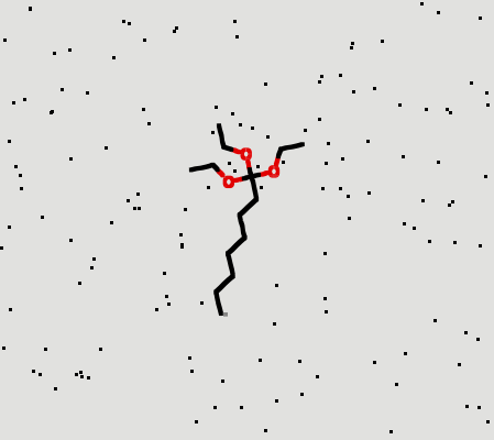 [CH2]CCCCCCC(OCC)(OCC)OCC